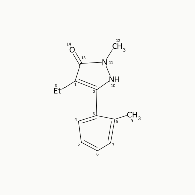 CCc1c(-c2ccccc2C)[nH]n(C)c1=O